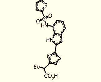 CCC(C(=O)O)c1csc(-c2cc3cccc(NS(=O)(=O)c4cccs4)c3[nH]2)n1